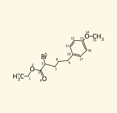 CCOC(=O)C(Br)CCCc1ccc(OC)cc1